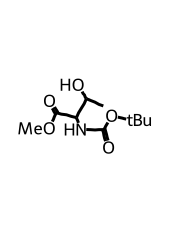 COC(=O)C(NC(=O)OC(C)(C)C)C(C)O